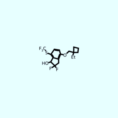 CCC1(COc2ccc(SC(F)(F)F)c3c2CC(F)(F)C3O)CCC1